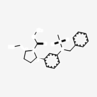 CC(C)(C)OC(=O)N1[C@@H](CO)CC[C@@H]1c1cccc(N(Cc2ccccc2)S(C)(=O)=O)c1